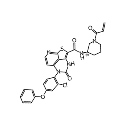 C=CC(=O)N1CCC[C@@H](NC(=O)c2sc3nccc4c3c2NC(=O)N4c2ccc(Oc3ccccc3)cc2Cl)C1